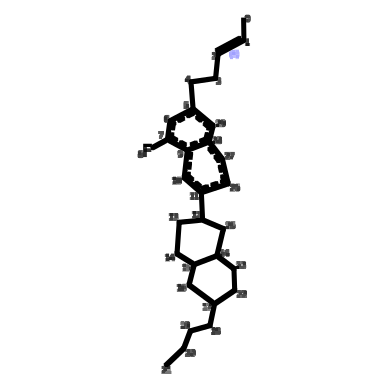 C/C=C/CCc1cc(F)c2cc(C3CCC4CC(CCCC)CCC4C3)ccc2c1